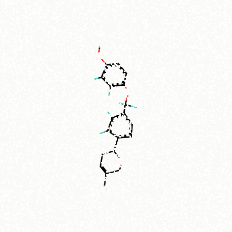 CCCC1=CCC(c2ccc(C(F)(F)Oc3ccc(OCC)c(F)c3F)c(F)c2F)OC1